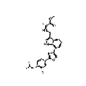 COC(=O)[C@@H](C)NCc1c[nH]c2c(-c3noc(-c4ccc(OC(C)C)c(Cl)c4)n3)cccc12